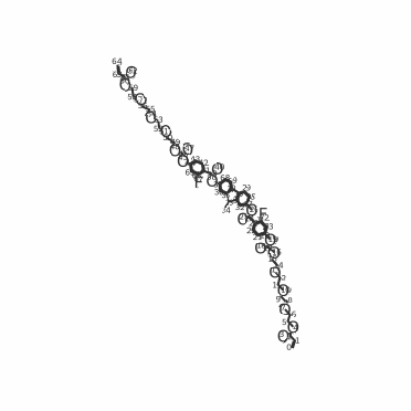 C=CC(=O)OCCOCCOCCOCCOC(=O)Oc1ccc(C(=O)Oc2ccc3c(c2)C(C)c2cc(OC(=O)c4ccc(OC(=O)OCCOCCOCCOCCOC(=O)C=C)cc4F)ccc2-3)c(F)c1